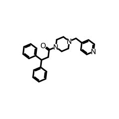 O=C(CC(c1ccccc1)c1ccccc1)N1CCN(Cc2ccncc2)CC1